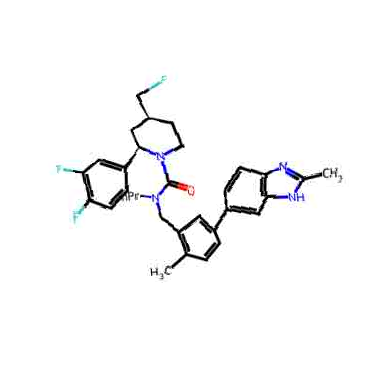 CCCN(Cc1cc(-c2ccc3nc(C)[nH]c3c2)ccc1C)C(=O)N1CC[C@H](CF)C[C@@H]1c1ccc(F)c(F)c1